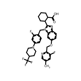 Cc1cnc(COc2ccc3nc(C4CCCCC4C(=O)O)n(Cc4ccc(N5CCC(C(F)(F)F)CC5)cc4F)c3c2)c(F)c1